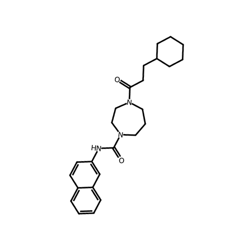 O=C(CCC1CCCCC1)N1CCCN(C(=O)Nc2ccc3ccccc3c2)CC1